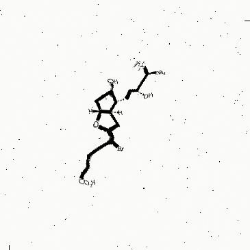 CCCC[C@H](C)[C@H](O)/C=C/[C@@H]1[C@H]2CC(C(Br)CCCC(=O)O)O[C@@H]2C[C@H]1O